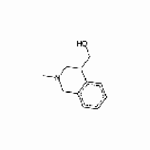 CN1Cc2ccccc2C(CO)C1